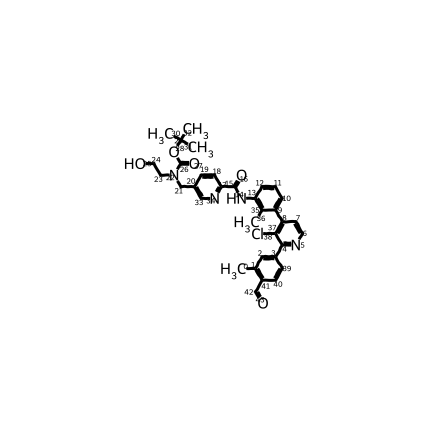 Cc1cc(-c2nccc(-c3cccc(NC(=O)c4ccc(CN(CCO)C(=O)OC(C)(C)C)cn4)c3C)c2Cl)ccc1C=O